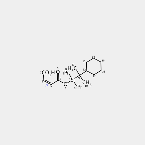 CC(C)[Si](OC(=O)/C=C\C(=O)O)(C(C)C)C(C)(C)C1CCCCC1